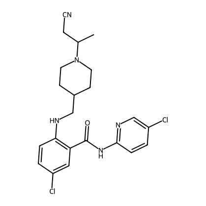 CC(CC#N)N1CCC(CNc2ccc(Cl)cc2C(=O)Nc2ccc(Cl)cn2)CC1